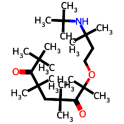 CC(C)(C)NC(C)(C)CCOC(C)(C)C(=O)C(C)(C)CC(C)(C)C(=O)C(C)(C)C